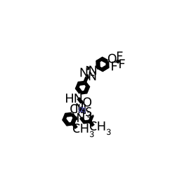 Cc1cccc(C)c1N1CC(C)CS/C1=N\C(=O)Nc1ccc(-c2ncn(-c3ccc(OC(F)(F)F)cc3)n2)cc1